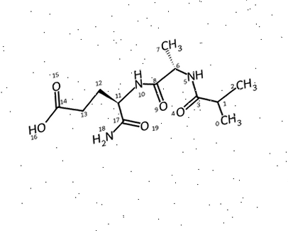 CC(C)C(=O)N[C@@H](C)C(=O)N[C@H](CCC(=O)O)C(N)=O